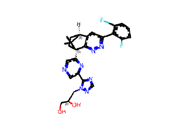 CC1(C)[C@H]2CC[C@]1(c1cncc(-c3ncnn3C[C@@H](O)CO)n1)c1nnc(-c3c(F)cccc3F)cc12